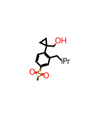 CC(C)Cc1cc(S(C)(=O)=O)ccc1C1(CO)CC1